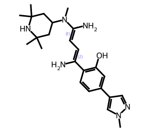 CN(/C(N)=C/C=C(\N)c1ccc(-c2cnn(C)c2)cc1O)C1CC(C)(C)NC(C)(C)C1